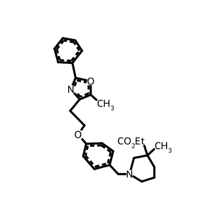 CCOC(=O)C1(C)CCCN(Cc2ccc(OCCc3nc(-c4ccccc4)oc3C)cc2)C1